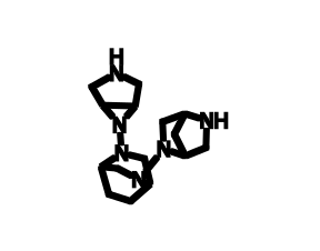 C1CC2CN(N3CC4CC3CN4)C1CN2N1C2CNCC21